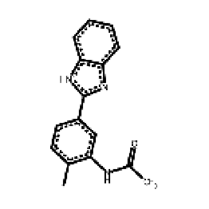 Cc1ccc(-c2nc3ccccc3[nH]2)cc1NC(=O)C(F)(F)F